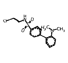 CN(C)c1ccccc1-c1ccc(S(=O)(=O)NCCCl)cc1